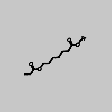 C=CC(=O)OCCCCCCC(=O)OC(C)C